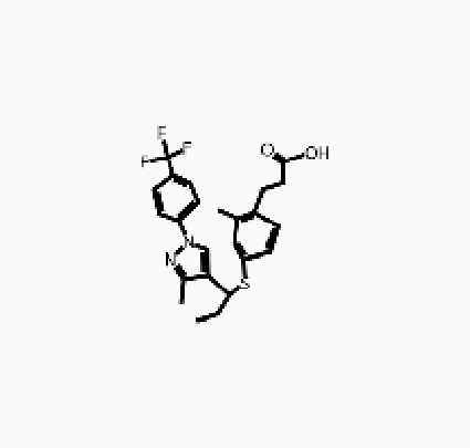 CCC(Sc1ccc(CCC(=O)O)c(C)c1)c1cn(-c2ccc(C(F)(F)F)cc2)nc1C